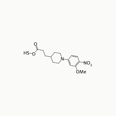 COc1cc(N2CCC(CCC(=O)OS)CC2)ccc1[N+](=O)[O-]